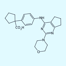 O=C(O)C1(c2ccc(Nc3nc(N4CCOCC4)nc4c3CCC4)cc2)CCCC1